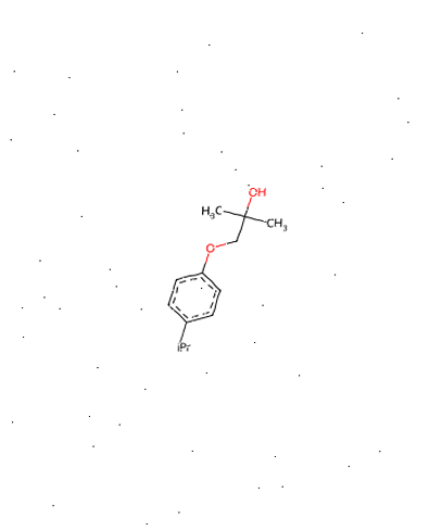 CC(C)c1ccc(OCC(C)(C)O)cc1